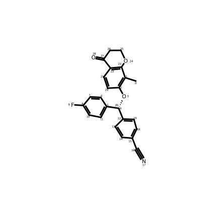 Cc1c(O[C@@H](c2ccc(F)cc2)c2ccc(C#N)cc2)ccc2c1OCCC2=O